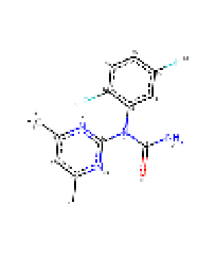 Cc1cc(C(F)(F)F)nc(N(C(N)=O)c2cc(F)ccc2F)n1